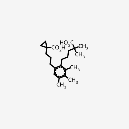 Cc1cc(CCCC2(C(=O)O)CC2)c(CCCC(C)(C)C(=O)O)c(C)c1C